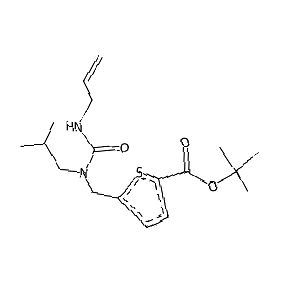 C=CCNC(=O)N(Cc1ccc(C(=O)OC(C)(C)C)s1)CC(C)C